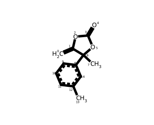 C=C1OC(=O)OC1(C)c1cccc(C)c1